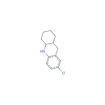 Clc1ccc2c(c1)CC1CCCCC1N2